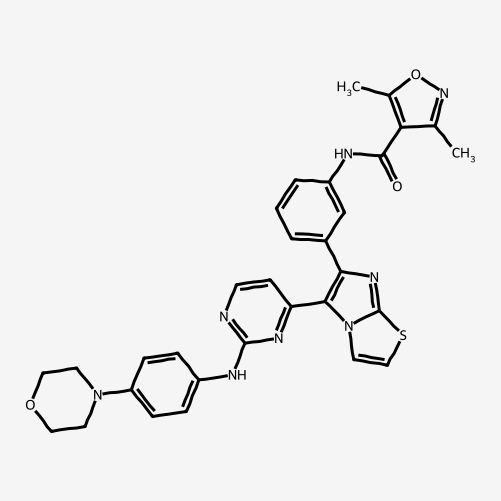 Cc1noc(C)c1C(=O)Nc1cccc(-c2nc3sccn3c2-c2ccnc(Nc3ccc(N4CCOCC4)cc3)n2)c1